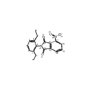 CCc1cccc(CC)c1N1C(=O)c2cccc([N+](=O)[O-])c2C1=O